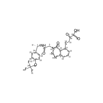 C[C@H](NC(=O)Cn1nnc2cccc(SCC(=O)C(=O)O)c2c1=O)c1ccc(OC(F)(F)F)cc1